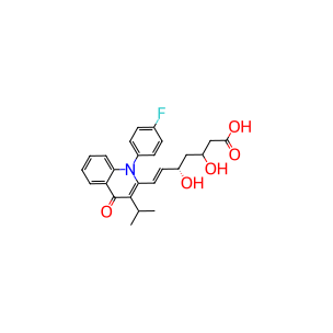 CC(C)c1c(/C=C/[C@@H](O)CC(O)CC(=O)O)n(-c2ccc(F)cc2)c2ccccc2c1=O